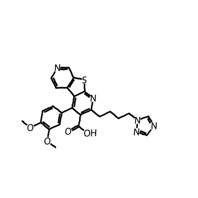 COc1ccc(-c2c(C(=O)O)c(CCCCn3cncn3)nc3sc4cnccc4c23)cc1OC